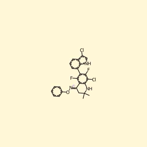 CC1(C)C/C(=N\Oc2ccccc2)c2c(F)c(-c3cccc4c(Cl)c[nH]c34)c(F)c(Cl)c2N1